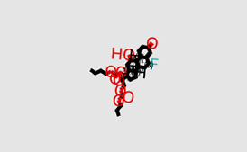 CCCCOC(=O)O[C@]1(C(=O)COC(=O)OCCC)CC[C@H]2[C@@H]3C[C@H](F)C4=CC(=O)C=C[C@]4(C)[C@H]3C(O)C[C@@]21C